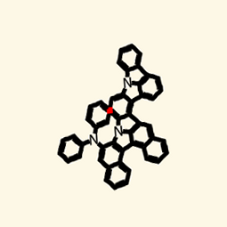 c1ccc(N(c2ccccc2)c2cc3ccccc3c3c4c5ccccc5cc5c6c7c8cccc9c%10ccccc%10n(c7ccc6n(c23)c54)c98)cc1